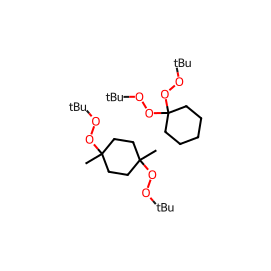 CC(C)(C)OOC1(C)CCC(C)(OOC(C)(C)C)CC1.CC(C)(C)OOC1(OOC(C)(C)C)CCCCC1